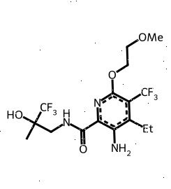 CCc1c(N)c(C(=O)NCC(C)(O)C(F)(F)F)nc(OCCOC)c1C(F)(F)F